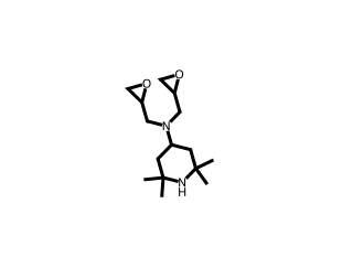 CC1(C)CC(N(CC2CO2)CC2CO2)CC(C)(C)N1